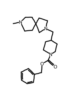 CN1CCC2(CC1)CCN(CC1CCN(C(=O)OCc3ccccc3)CC1)C2